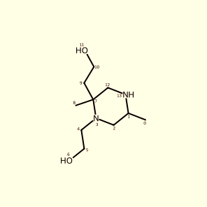 CC1CN(CCO)C(C)(CCO)CN1